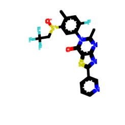 Cc1cc(F)c(-n2c(C)nc3nc(-c4cccnc4)sc3c2=O)cc1[S+]([O-])CC(F)(F)F